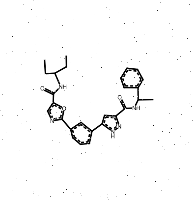 CCC(CC)NC(=O)c1cnc(-c2cccc(-c3cc(C(=O)NC(C)c4ccccc4)n[nH]3)c2)o1